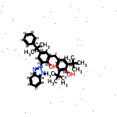 CC(C)(C)c1cc(Cc2cc(C(C)(C)c3ccccc3)cc(-n3nc4ccccc4n3)c2O)cc(C(C)(C)C)c1O